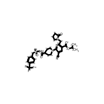 CC(C)OC(=O)c1cc(C#N)c(N2CCC(C(=O)NS(=O)(=O)Cc3ccc(C(F)(F)F)cc3)CC2)nc1CN1CCCC1=O